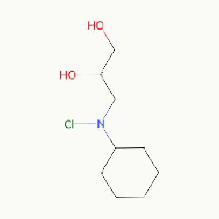 OCC(O)CN(Cl)C1CCCCC1